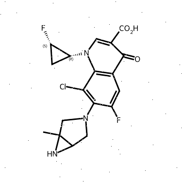 CC12CN(c3c(F)cc4c(=O)c(C(=O)O)cn([C@@H]5C[C@@H]5F)c4c3Cl)CC1N2